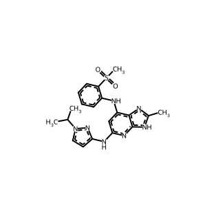 Cc1nc2c(Nc3ccccc3S(C)(=O)=O)cc(Nc3ccn(C(C)C)n3)nc2[nH]1